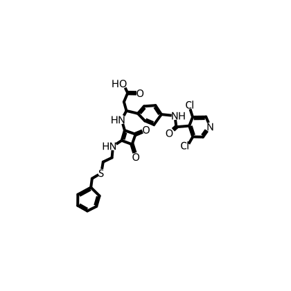 O=C(O)CC(Nc1c(NCCSCc2ccccc2)c(=O)c1=O)c1ccc(NC(=O)c2c(Cl)cncc2Cl)cc1